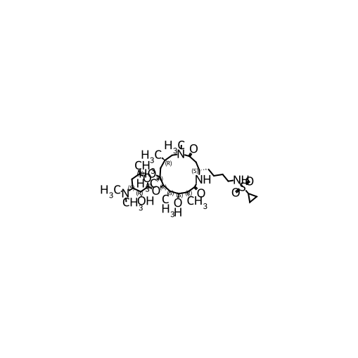 C[C@H]1CN(C)C(=O)C[C@H](CCCCNS(=O)(=O)C2CC2)NC(=O)[C@H](C)[C@@H](O)[C@H](C)[C@@H](O[C@@H]2O[C@H](C)C[C@H](N(C)C)[C@H]2O)[C@](C)(O)C1